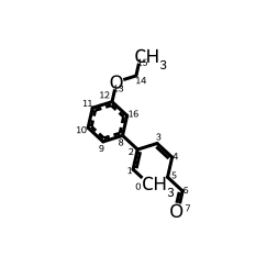 C/C=C(\C=C/CC=O)c1cccc(OCC)c1